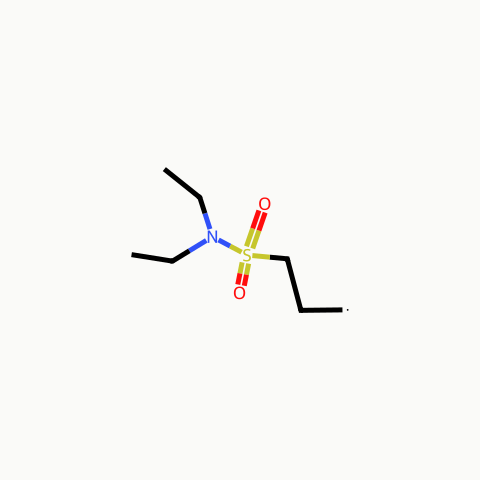 [CH2]CCS(=O)(=O)N(CC)CC